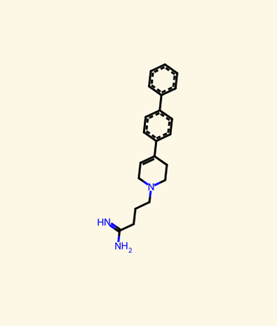 N=C(N)CCCN1CC=C(c2ccc(-c3ccccc3)cc2)CC1